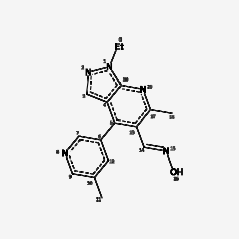 CCn1ncc2c(-c3cncc(C)c3)c(C=NO)c(C)nc21